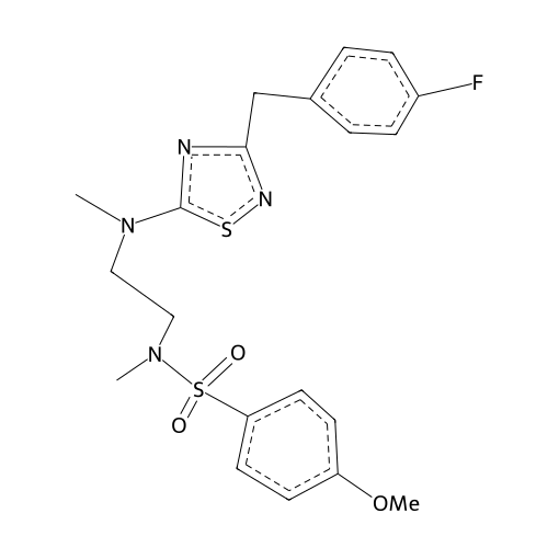 COc1ccc(S(=O)(=O)N(C)CCN(C)c2nc(Cc3ccc(F)cc3)ns2)cc1